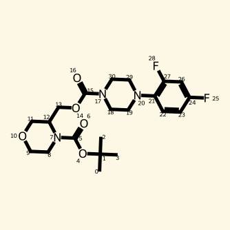 CC(C)(C)OC(=O)N1CCOCC1COC(=O)N1CCN(c2ccc(F)cc2F)CC1